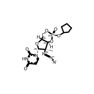 C[C@@]1(N=[N+]=[N-])[C@@H]2O[P@](=O)(OC3CCCC3)OC[C@H]2O[C@H]1n1ccc(=O)[nH]c1=O